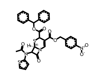 CC(=O)N(c1cccs1)C1C(=O)N2C=C(C(=O)OCc3ccc([N+](=O)[O-])cc3)C(C(=O)OC(c3ccccc3)c3ccccc3)S[C@H]12